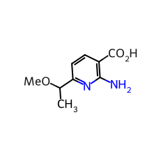 COC(C)c1ccc(C(=O)O)c(N)n1